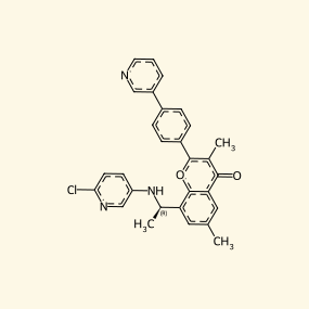 Cc1cc([C@@H](C)Nc2ccc(Cl)nc2)c2oc(-c3ccc(-c4cccnc4)cc3)c(C)c(=O)c2c1